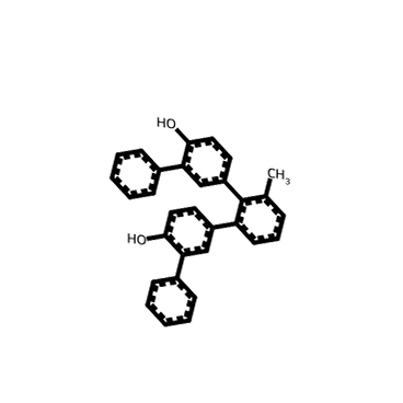 Cc1cccc(-c2ccc(O)c(-c3ccccc3)c2)c1-c1ccc(O)c(-c2ccccc2)c1